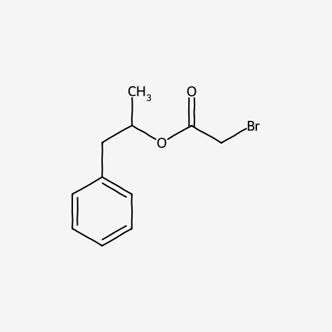 CC(Cc1ccccc1)OC(=O)CBr